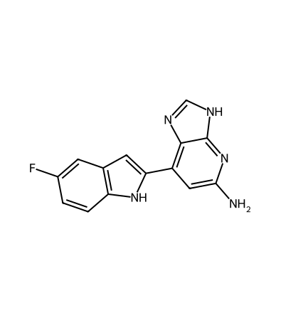 Nc1cc(-c2cc3cc(F)ccc3[nH]2)c2nc[nH]c2n1